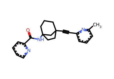 Cc1cccc(C#CC23CCCC(NC(=O)c4ccccn4)(CC2)C3)n1